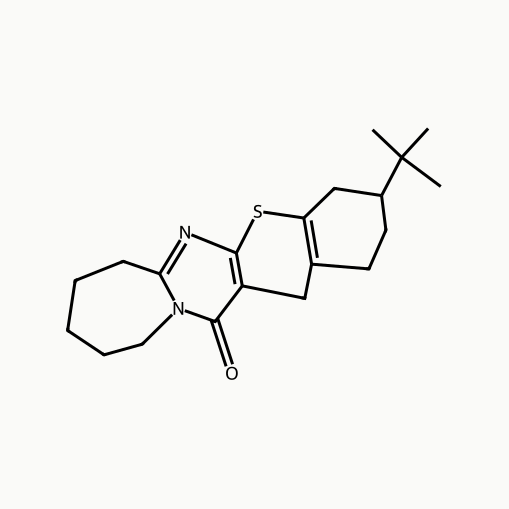 CC(C)(C)C1CCC2=C(C1)Sc1nc3n(c(=O)c1C2)CCCCC3